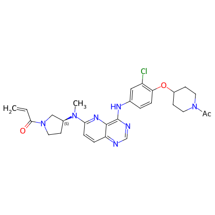 C=CC(=O)N1CC[C@H](N(C)c2ccc3ncnc(Nc4ccc(OC5CCN(C(C)=O)CC5)c(Cl)c4)c3n2)C1